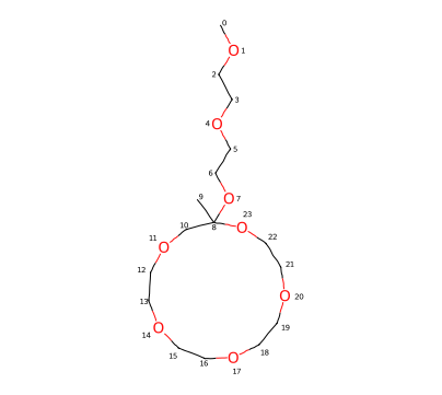 COCCOCCOC1(C)COCCOCCOCCOCCO1